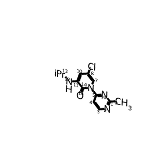 Cc1nccc(-n2cc(Cl)cc(NC(C)C)c2=O)n1